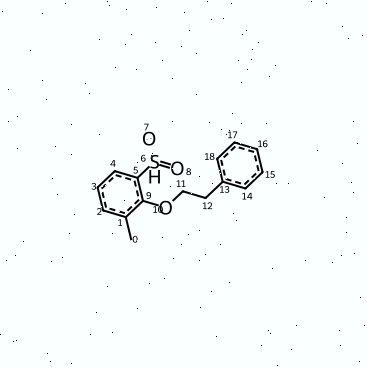 Cc1cccc([SH](=O)=O)c1OCCc1ccccc1